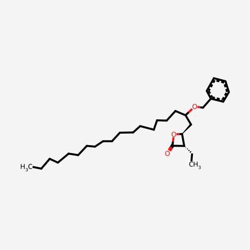 CCCCCCCCCCCCCCCCCC(C[C@@H]1OC(=O)[C@H]1CC)OCc1ccccc1